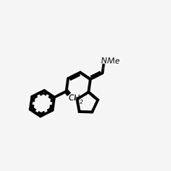 C=C(/C=C\C(=C/NC)C1CCCC1)c1ccccc1